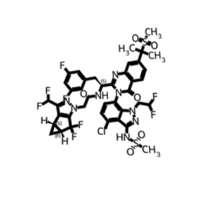 CC(C)(c1ccc2c(=O)n(-c3ccc(Cl)c4c(NS(C)(=O)=O)nn(CC(F)F)c34)c([C@H](Cc3cc(F)cc(F)c3)NC(=O)Cn3nc(C(F)F)c4c3C(F)(F)[C@@H]3C[C@H]43)nc2c1)S(C)(=O)=O